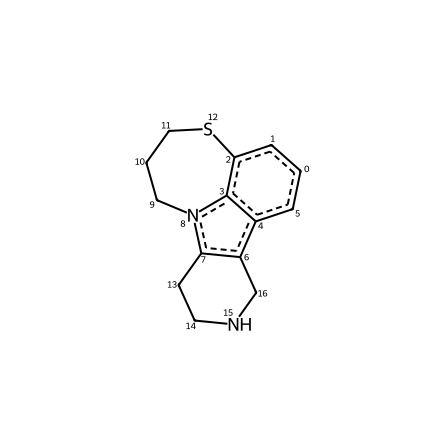 c1cc2c3c(c1)c1c(n3CCCS2)CCNC1